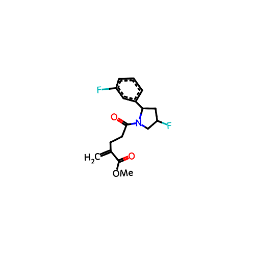 C=C(CCC(=O)N1CC(F)CC1c1cccc(F)c1)C(=O)OC